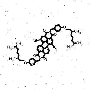 CC(C)=CCC[C@H](C)CCOc1ccc(CN2C(=O)c3ccc4c5c(C#N)cc6c7c(cc(C#N)c(c8ccc(c3c48)C2=O)c75)C(=O)N(Cc2ccc(OCC[C@@H](C)CCC=C(C)C)cc2)C6=O)cc1